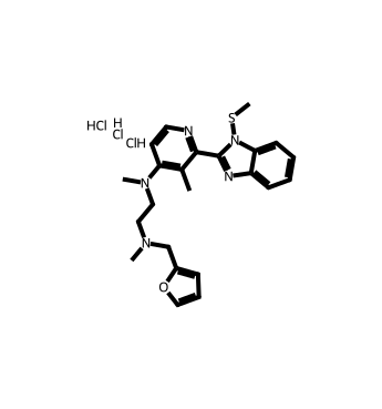 CSn1c(-c2nccc(N(C)CCN(C)Cc3ccco3)c2C)nc2ccccc21.Cl.Cl.Cl